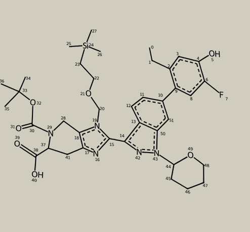 CCc1cc(O)c(F)cc1-c1ccc2c(-c3nc4c(n3COCC[Si](C)(C)C)CN(C(=O)OC(C)(C)C)C(C(=O)O)C4)nn(C3CCCCO3)c2c1